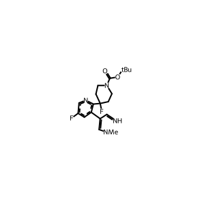 CN/C=C(\C=N)c1cc(F)cnc1C1(F)CCN(C(=O)OC(C)(C)C)CC1